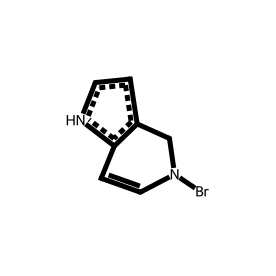 BrN1C=Cc2[nH]ccc2C1